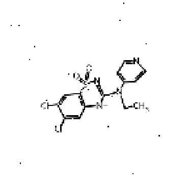 CCN(C1=NS(=O)(=O)c2cc(Cl)c(Cl)cc2N1)c1ccncc1